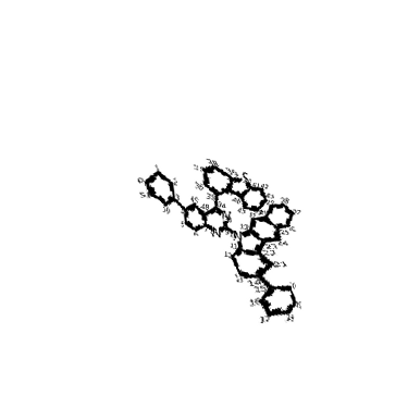 c1ccc(-c2ccc3nc(-n4c5ccc(-c6ccccc6)cc5c5cc6ccccc6cc54)nc(-c4cccc5sc6ccccc6c45)c3c2)cc1